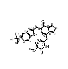 COC(=O)[C@H](C)NC(=O)Cc1nn(Cc2nc3cc(C(F)(F)F)ccc3s2)c(=O)c2cscc12